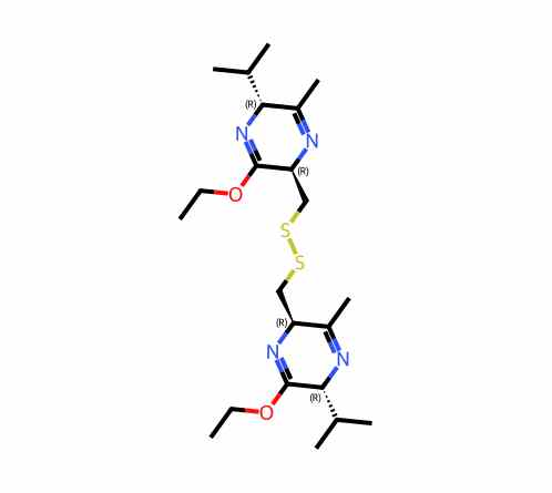 CCOC1=N[C@H](C(C)C)C(C)=N[C@H]1CSSC[C@@H]1N=C(OCC)[C@@H](C(C)C)N=C1C